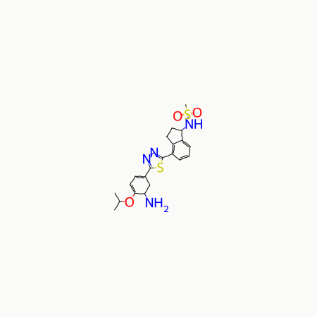 CC(C)OC1=CC=C(c2nnc(-c3cccc4c3CCC4NS(C)(=O)=O)s2)CC1N